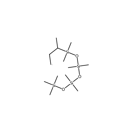 [CH2]CC(C)[Si](C)(C)O[Si](C)(C)O[Si](C)(C)O[Si](C)(C)C